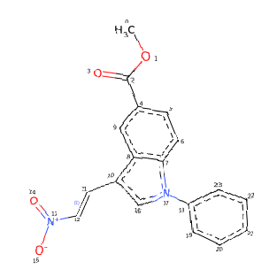 COC(=O)c1ccc2c(c1)c(/C=C/[N+](=O)[O-])cn2-c1ccccc1